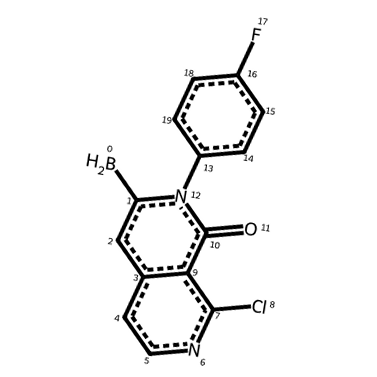 Bc1cc2ccnc(Cl)c2c(=O)n1-c1ccc(F)cc1